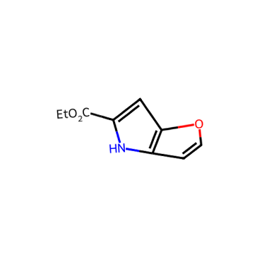 CCOC(=O)c1cc2occc2[nH]1